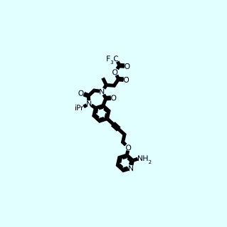 CC(CC(=O)OC(=O)C(F)(F)F)N1CC(=O)N(C(C)C)c2ccc(C#CCCOc3cccnc3N)cc2C1=O